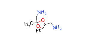 CC1(CN)OCC(CN)O1.[Pt]